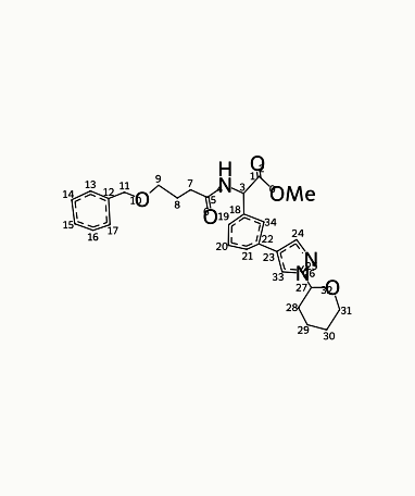 COC(=O)C(NC(=O)CCCOCc1ccccc1)c1cccc(-c2cnn(C3CCCCO3)c2)c1